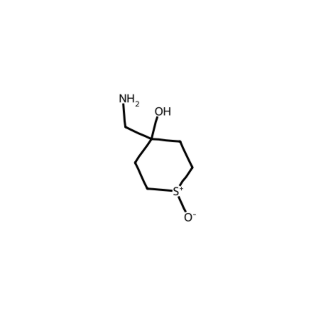 NCC1(O)CC[S+]([O-])CC1